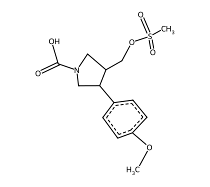 COc1ccc(C2CN(C(=O)O)CC2COS(C)(=O)=O)cc1